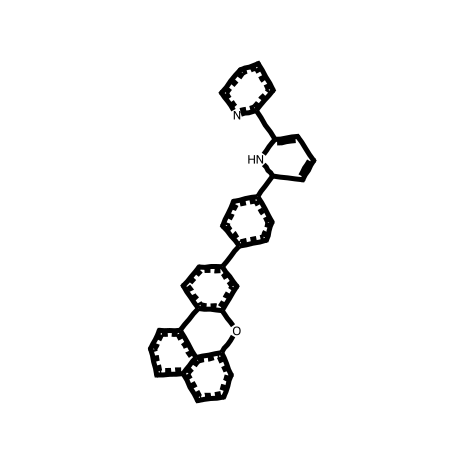 C1=CC(c2ccc(-c3ccc4c(c3)Oc3cccc5cccc-4c35)cc2)NC(c2ccccn2)=C1